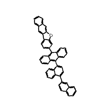 c1ccc2cc(-c3ccc(-c4c5ccccc5c(-c5ccc6c(c5)oc5cc7ccccc7cc56)c5ccccc45)c4ccccc34)ccc2c1